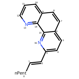 CCCCCC=Cc1ccc2ccc3cccnc3c2n1